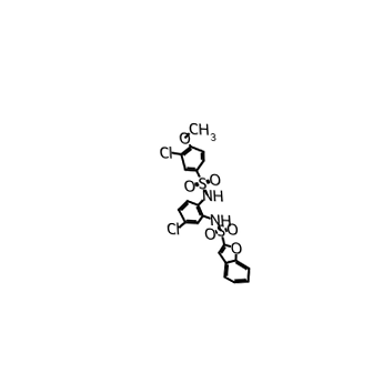 COc1ccc(S(=O)(=O)Nc2ccc(Cl)cc2NS(=O)(=O)c2cc3ccccc3o2)cc1Cl